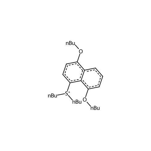 CCCCOc1ccc([S+](CCCC)CCCC)c2c(OCCCC)cccc12